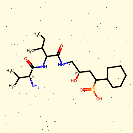 CCC(C)C(NC(=O)[C@@H](N)C(C)C)C(=O)NC[C@H](O)CC(C1CCCCC1)[PH](=O)O